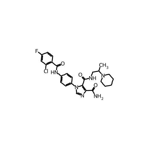 CC(CNC(=O)c1c(C(N)=O)ncn1-c1ccc(NC(=O)c2ccc(F)cc2Cl)cc1)N1CCCCC1